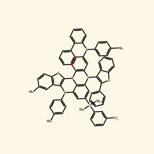 CC(C)(C)c1ccc(N(c2ccc3c(c2)N(c2c(-c4ccccc4)oc4ccccc24)c2cc(S(c4cccc(C(F)(F)F)c4)(C(C)(C)C)C(C)(C)C)cc4c2B3c2sc3ccc(C(C)(C)C)cc3c2N4c2ccc(C(C)(C)C)cc2)c2ccccc2-c2ccccc2)cc1